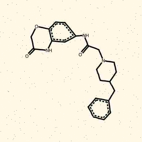 O=C(CN1CCC(Cc2ccccc2)CC1)Nc1ccc2c(c1)NC(=O)CO2